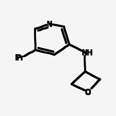 CC(C)c1cncc(NC2COC2)c1